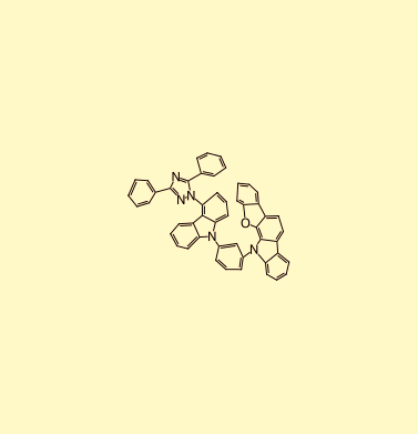 c1ccc(-c2nc(-c3ccccc3)n(-c3cccc4c3c3ccccc3n4-c3cccc(-n4c5ccccc5c5ccc6c7ccccc7oc6c54)c3)n2)cc1